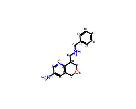 Nc1cnc2c(c1)COCC2CNCc1ccccc1